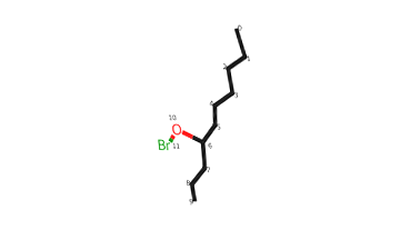 CCCCCCC(CCC)OBr